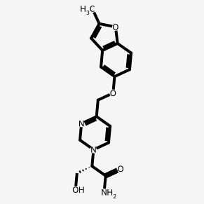 Cc1cc2cc(OCC3=NCN([C@@H](CO)C(N)=O)C=C3)ccc2o1